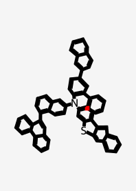 c1ccc(-c2cc(-c3ccc4ccccc4c3)ccc2N(c2ccc3c(-c4cc5ccccc5c5ccccc45)cccc3c2)c2ccc3c(c2)sc2cc4ccccc4cc23)cc1